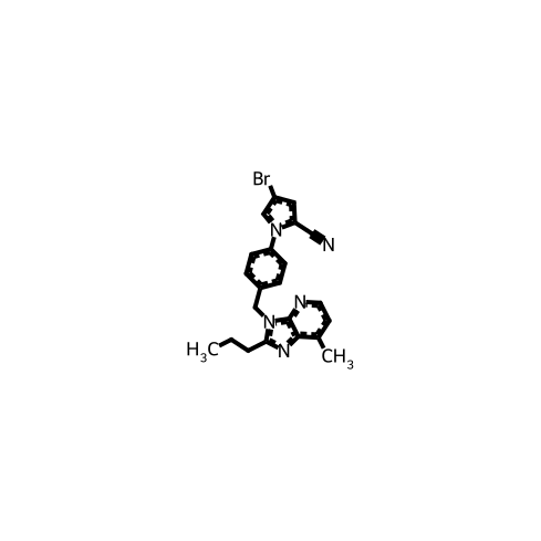 CCCc1nc2c(C)ccnc2n1Cc1ccc(-n2cc(Br)cc2C#N)cc1